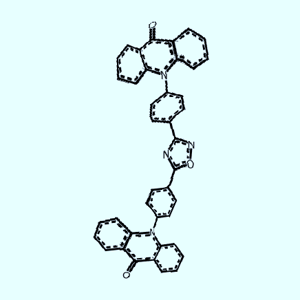 O=c1c2ccccc2n(-c2ccc(-c3noc(-c4ccc(-n5c6ccccc6c(=O)c6ccccc65)cc4)n3)cc2)c2ccccc12